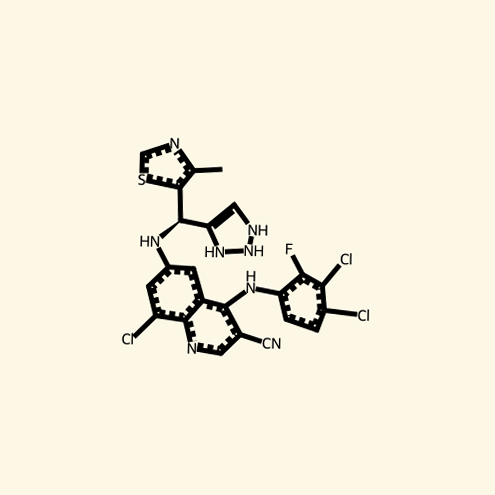 Cc1ncsc1[C@H](Nc1cc(Cl)c2ncc(C#N)c(Nc3ccc(Cl)c(Cl)c3F)c2c1)C1=CNNN1